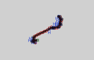 COc1ccc2c(c1)C(c1ccc(Cl)cc1)=N[C@@H](CC(=O)Nc1ccc(OCCOCCOCCOCCOCCOCCOCCOCCOCCNC(=O)CCNC(=O)c3nc(NC(=O)CCNC(=O)c4cc(NC(=O)c5nc(NC(=O)CCNC(=O)c6cc(NC(=O)c7nccn7C)cn6C)cn5C)cn4C)cn3C)cc1)C(=N)N2C(C)=N